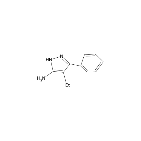 [CH2]Cc1c(-c2ccccc2)n[nH]c1N